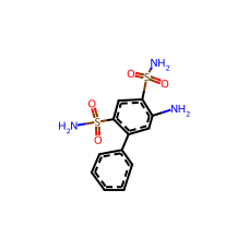 Nc1cc(-c2ccccc2)c(S(N)(=O)=O)cc1S(N)(=O)=O